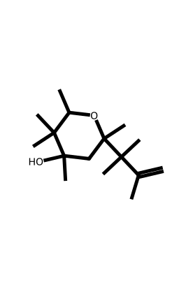 C=C(C)C(C)(C)C1(C)CC(C)(O)C(C)(C)C(C)O1